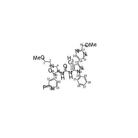 COCCN1C[C@@H](NC(=O)Nc2c(C)c(-c3cnc(COC)nc3)nn2-c2ccccc2)[C@H](c2ccnc(F)c2)O1